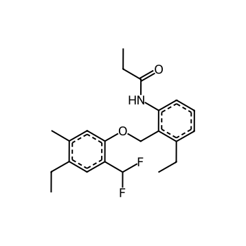 CCC(=O)Nc1cccc(CC)c1COc1cc(C)c(CC)cc1C(F)F